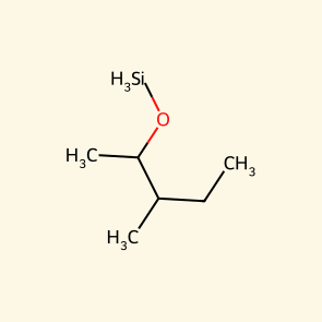 CCC(C)C(C)O[SiH3]